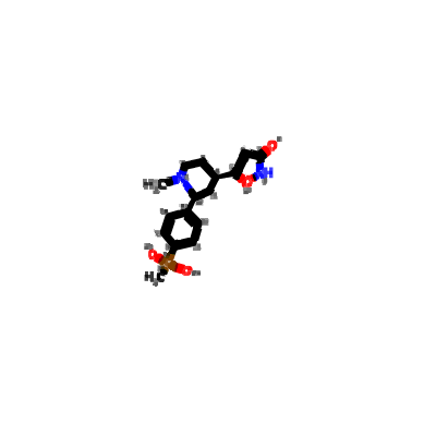 CN1CC[C@@H](c2cc(=O)[nH]o2)C[C@H]1c1ccc(S(C)(=O)=O)cc1